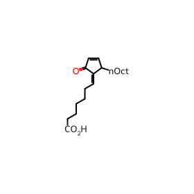 CCCCCCCCC1C=CC(=O)/C1=C\CCCCCC(=O)O